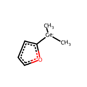 [CH3][Ge]([CH3])[c]1ccco1